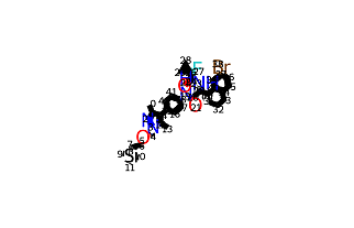 Cc1nn(COCC[Si](C)(C)C)c(C)c1-c1ccc(NC(=O)[C@@H](NC(=O)C2(F)CC2)[C@@H]2CCCc3ccc(Br)cc32)cc1